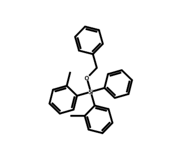 Cc1ccccc1[Si](OCc1ccccc1)(c1ccccc1)c1ccccc1C